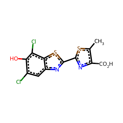 Cc1sc(-c2nc3cc(Cl)c(O)c(Cl)c3s2)nc1C(=O)O